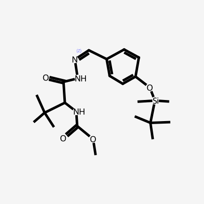 COC(=O)NC(C(=O)N/N=C\c1ccc(O[Si](C)(C)C(C)(C)C)cc1)C(C)(C)C